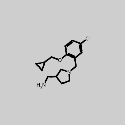 NCC1CCN(Cc2cc(Cl)ccc2OCC2CC2)C1